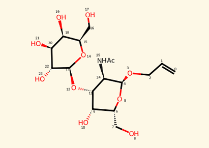 C=CCO[C@H]1O[C@H](CO)[C@H](O)[C@H](O[C@@H]2O[C@H](CO)[C@H](O)[C@H](O)[C@H]2O)[C@H]1NC(C)=O